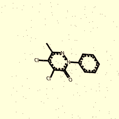 Cc1nn(-c2ccccc2)c(=O)c(Cl)c1Cl